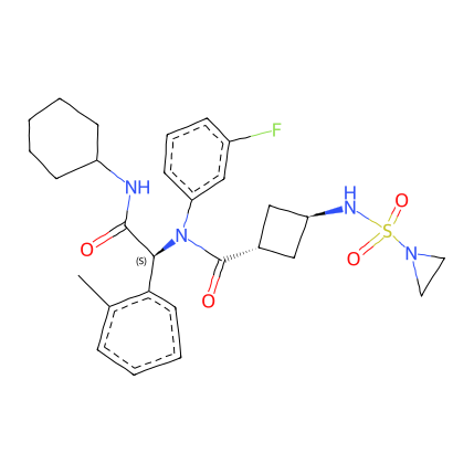 Cc1ccccc1[C@@H](C(=O)NC1CCCCC1)N(c1cccc(F)c1)C(=O)[C@H]1C[C@H](NS(=O)(=O)N2CC2)C1